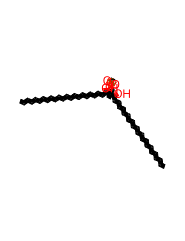 CCCCCCCCCCCCCCCCCCCCCCC(O)C(C)(COS(C)(=O)=O)C(O)CCCCCCCCCCCCCCCCCCCCCC